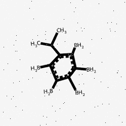 Bc1c(B)c(B)c(C(C)C)c(B)c1B